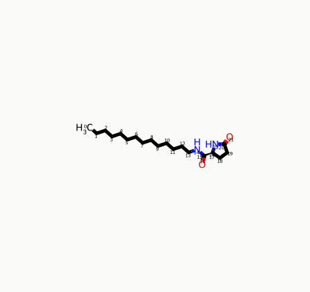 CCCCCCCCCCCCCCNC(=O)[C@@H]1CCC(=O)N1